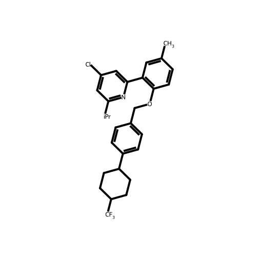 Cc1ccc(OCc2ccc(C3CCC(C(F)(F)F)CC3)cc2)c(-c2cc(Cl)cc(C(C)C)n2)c1